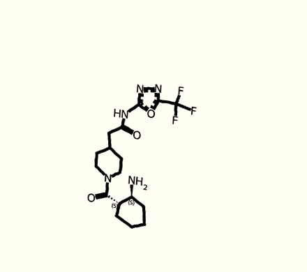 N[C@H]1CCCC[C@@H]1C(=O)N1CCC(CC(=O)Nc2nnc(C(F)(F)F)o2)CC1